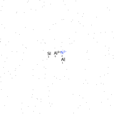 [Al+3].[Al].[N-3].[Si]